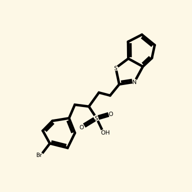 O=S(=O)(O)C(CCc1nc2ccccc2s1)Cc1ccc(Br)cc1